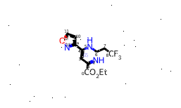 CCOC(=O)C(=N)/C=C(\NCCC(F)(F)F)c1ccon1